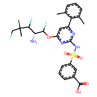 Cc1cccc(C)c1-c1cc(OC(F)[C@H](N)C(F)C(C)(C)CF)nc(NS(=O)(=O)c2cccc(C(=O)O)c2)n1